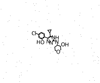 Oc1cc(Cl)ccc1-c1nnc(N[C@@H]2CCOC[C@H]2O)nc1C1CC1